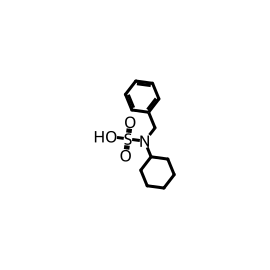 O=S(=O)(O)N(Cc1ccccc1)C1CCCCC1